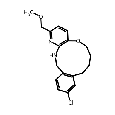 COCc1ccc2c(n1)NCc1ccc(Cl)cc1CCCCO2